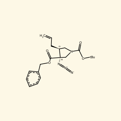 C=CC[C@H]1CN(C(=O)OC(C)(C)C)C[C@@]1(N=[N+]=[N-])C(=O)OCc1ccccc1